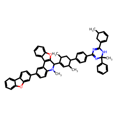 CC1C=CC=C(C2=NC(c3ccc(C4CC(C)C(C5c6oc7ccccc7c6-c6cc(-c7ccc8c(c7)oc7ccccc78)ccc6N5C)=CC4C)cc3)=NC(C)(c3ccccc3)N2)C1